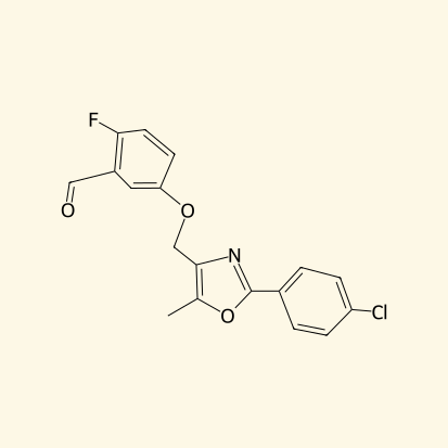 Cc1oc(-c2ccc(Cl)cc2)nc1COc1ccc(F)c(C=O)c1